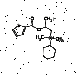 CC(C[N+](C)(C)C1CCCCC1)OC(=O)c1cccs1.[I-]